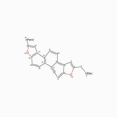 CCCCCCCCCCCc1cc2c(ccc3c2ccc2c4cc(CCCCC)oc4ccc23)o1